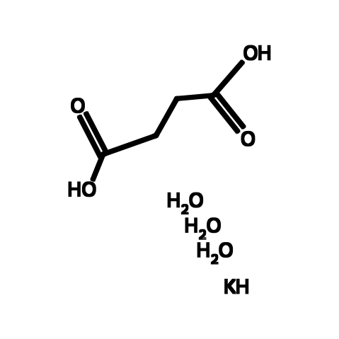 O.O.O.O=C(O)CCC(=O)O.[KH]